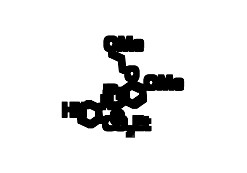 CCOC(=O)C1CCNCC1N(C(=O)c1ccc(OC)c(OCCCOC)c1)C(C)C